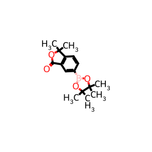 CC1(C)OC(=O)c2cc(B3OC(C)(C)C(C)(C)O3)ccc21